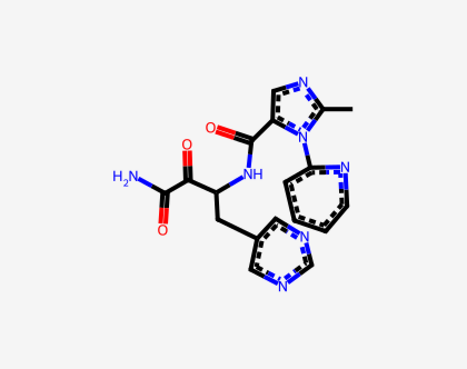 Cc1ncc(C(=O)NC(Cc2cncnc2)C(=O)C(N)=O)n1-c1ccccn1